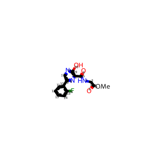 COC(=O)CNC(=O)c1nc(-c2ccccc2F)cnc1O